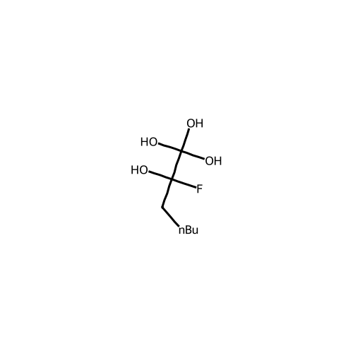 CCCCCC(O)(F)C(O)(O)O